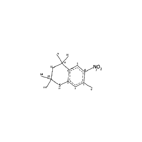 Cc1cc2c(cc1[N+](=O)[O-])C(C)(C)CC(C)(C)S2